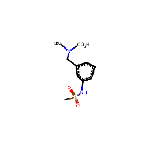 CC(C)(C)N(Cc1cccc(NS(C)(=O)=O)c1)C(=O)O